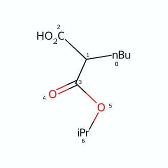 CCCCC(C(=O)O)C(=O)OC(C)C